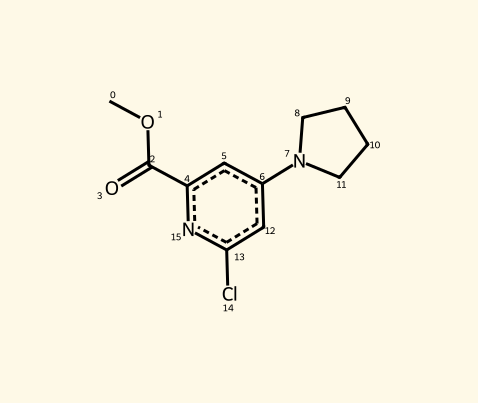 COC(=O)c1cc(N2CCCC2)cc(Cl)n1